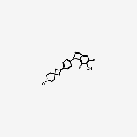 [O-][S+]1CCC2(CC1)CN(c1ccc(-n3ncc4cc(F)c(O)c(F)c43)cc1)C2